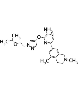 Cc1cc(-c2cnc(N)c(Oc3cnn(CCOC(C)C)c3)n2)cc2c1CCN(C)C2